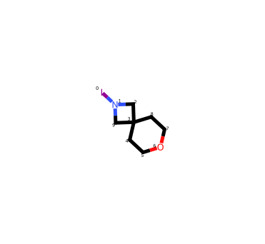 IN1CC2(CCOCC2)C1